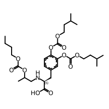 CCCCOC(=O)OC(C)CN[C@@H](Cc1ccc(OC(=O)OCCC(C)C)c(OC(=O)OCCC(C)C)c1)C(=O)O